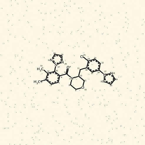 Cc1ccc(C(=O)N2CCOCC2Cc2cc(-n3nccn3)ccc2Cl)c(-n2nccn2)c1C